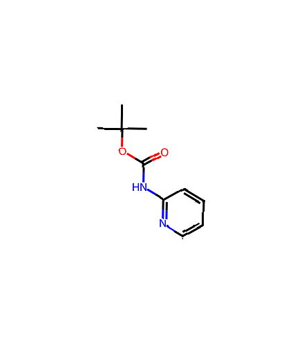 CC(C)(C)OC(=O)Nc1ccc[c]n1